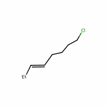 CCC=CCCCCCl